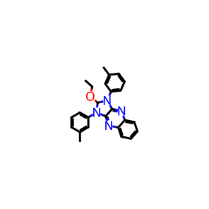 CCOC1N(c2cccc(C)c2)c2nc3ccccc3nc2N1c1cccc(C)c1